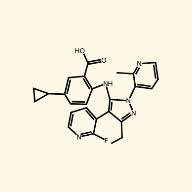 CCc1nn(-c2cccnc2C)c(Nc2ccc(C3CC3)cc2C(=O)O)c1-c1cccnc1F